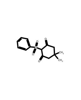 CC1(C)CC(=O)C(S(=O)(=O)c2ccccc2)C(=O)C1